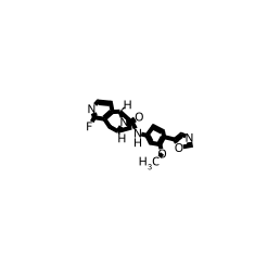 COc1cc(NC(=O)N2[C@H]3CC[C@@H]2c2ccnc(F)c2C3)ccc1-c1cnco1